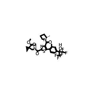 COC(=O)C1(CNC(=O)c2nc(C(=O)N3CCC[C@@H]3C)c(-c3ccc(C(O)(C(F)(F)F)C(F)(F)F)cc3C)s2)CC1